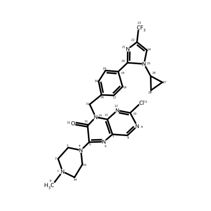 CN1CCN(c2nc3cnc(Cl)nc3n(Cc3ccc(-c4nc(C(F)(F)F)cn4C4CC4)cc3)c2=O)CC1